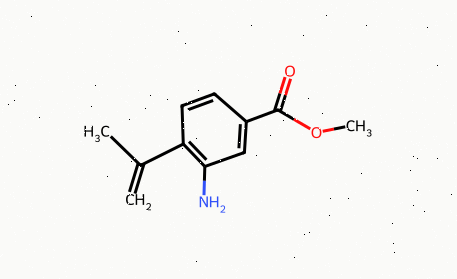 C=C(C)c1ccc(C(=O)OC)cc1N